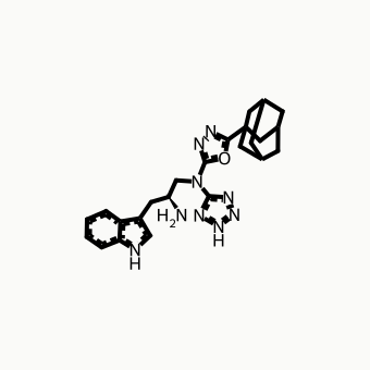 N[C@@H](Cc1c[nH]c2ccccc12)CN(c1nn[nH]n1)c1nnc(C23CC4CC(CC(C4)C2)C3)o1